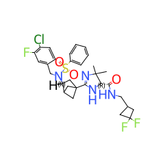 CC1(C)N=C(C23CC(C2)[C@H](N(Cc2ccc(Cl)c(F)c2)S(=O)(=O)c2ccccc2)C3)N[C@H]1C(=O)NCC1CC(F)(F)C1